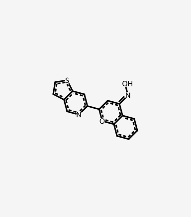 ON=c1cc(-c2cc3sccc3cn2)oc2ccccc12